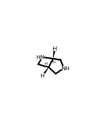 C1NC[C@H]2NC[C@@H]12